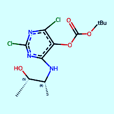 C[C@H](O)[C@@H](C)Nc1nc(Cl)nc(Cl)c1OC(=O)OC(C)(C)C